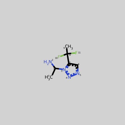 CC(N)n1nncc1C(C)(F)F